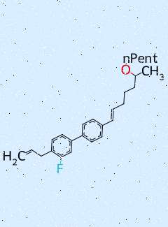 C=CCc1ccc(-c2ccc(/C=C/CCCC(C)OCCCCC)cc2)cc1F